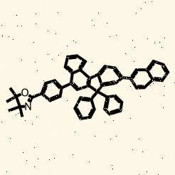 CC1(C)N=C(c2ccc(-c3cc4c(c5ccccc35)-c3ccc(-c5ccc6ccccc6c5)cc3C4(c3ccccc3)c3ccccc3)cc2)OC1(C)C